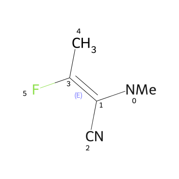 CN/C(C#N)=C(\C)F